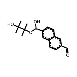 CC(C)(O)C(C)(C)OB(O)c1ccc2cc(C=O)ccc2c1